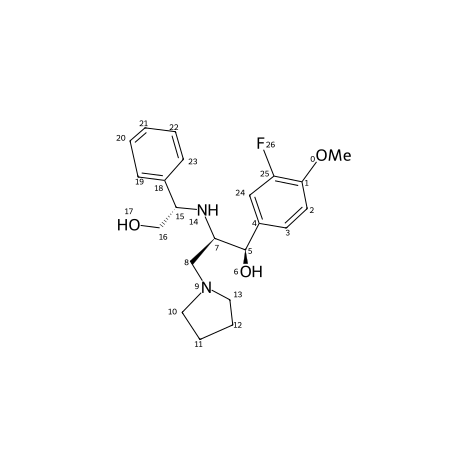 COc1ccc([C@@H](O)[C@@H](CN2CCCC2)N[C@H](CO)c2ccccc2)cc1F